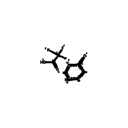 O=C(O)C(F)(F)F.O=c1cc[nH]cn1